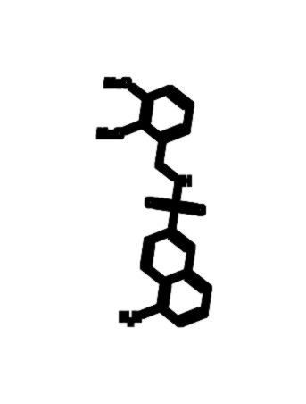 COc1cccc(CNS(=O)(=O)c2ccc3c(N)cccc3c2)c1OC